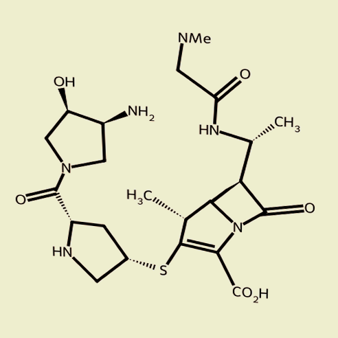 CNCC(=O)N[C@H](C)[C@H]1C(=O)N2C(C(=O)O)=C(S[C@@H]3CN[C@H](C(=O)N4C[C@@H](O)[C@@H](N)C4)C3)[C@H](C)C12